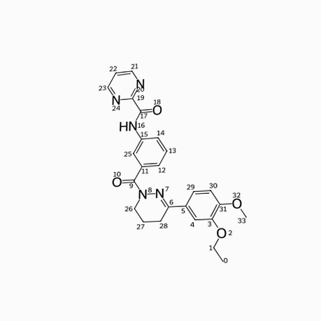 CCOc1cc(C2=NN(C(=O)c3cccc(NC(=O)c4ncccn4)c3)CCC2)ccc1OC